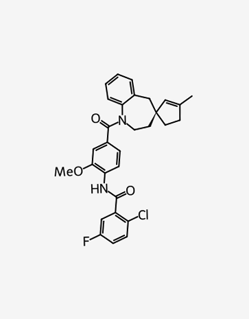 COc1cc(C(=O)N2CC[C@]3(C=C(C)CC3)Cc3ccccc32)ccc1NC(=O)c1cc(F)ccc1Cl